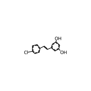 Oc1cc(O)cc(C=Cc2ccc(Cl)cc2)c1